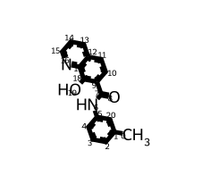 Cc1cccc(NC(=O)c2ccc3cccnc3c2O)c1